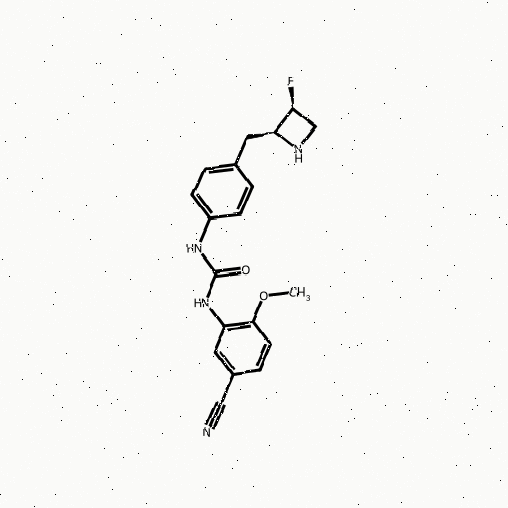 COc1ccc(C#N)cc1NC(=O)Nc1ccc(C[C@@H]2NC[C@@H]2F)cc1